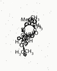 CCn1c(-c2cccnc2[C@H](C)OC)c2c3cc(ccc31)-c1nc(cs1)C[C@H](NC(=O)C(=C1CCCC1)N(C)C(=O)C1(S)CCN(C(=O)C#CC(C)(C)N3CCC3)C1)C(=O)N1CCC[C@H](N1)C(=O)OCC(C)(C)C2